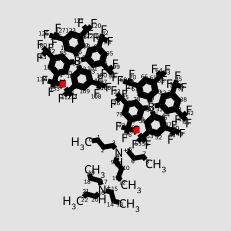 CCCC[NH+](CCCC)CCCC.CCC[NH+](CCC)CCC.FC(F)(F)c1cc([B-](c2cc(C(F)(F)F)cc(C(F)(F)F)c2)(c2cc(C(F)(F)F)cc(C(F)(F)F)c2)c2cc(C(F)(F)F)cc(C(F)(F)F)c2)cc(C(F)(F)F)c1.FC(F)(F)c1cc([B-](c2cc(C(F)(F)F)cc(C(F)(F)F)c2)(c2cc(C(F)(F)F)cc(C(F)(F)F)c2)c2cc(C(F)(F)F)cc(C(F)(F)F)c2)cc(C(F)(F)F)c1